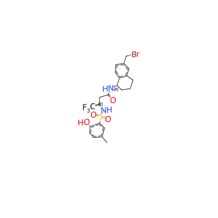 Cc1ccc(O)c(S(=O)(=O)N[C@H](CC(=O)N[C@@H]2CCCc3cc(CBr)ccc32)C(F)(F)F)c1